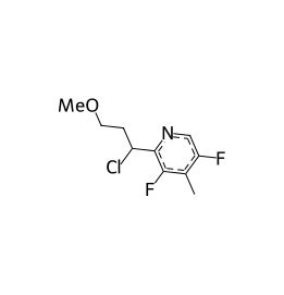 COCCC(Cl)c1ncc(F)c(C)c1F